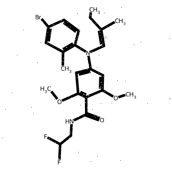 CC/C(C)=C\N(c1cc(OC)c(C(=O)NCC(F)F)c(OC)c1)c1ccc(Br)cc1C